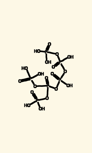 O=P(O)(O)OP(=O)(O)OP(=O)(O)OP(=O)(OP(=O)(O)O)OP(=O)(O)O